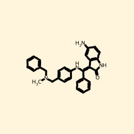 CN(Cc1ccccc1)Cc1ccc(NC(=C2C(=O)Nc3ccc(N)cc32)c2ccccc2)cc1